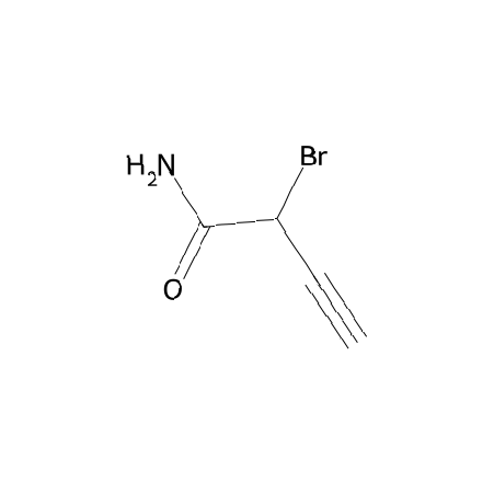 C#CC(Br)C(N)=O